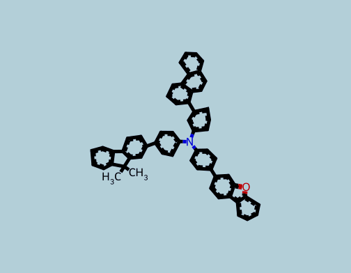 CC1(C)c2ccccc2-c2ccc(-c3ccc(N(c4ccc(-c5ccc6c(c5)oc5ccccc56)cc4)c4cccc(-c5cccc6c5ccc5ccccc56)c4)cc3)cc21